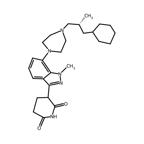 C[C@H](CC1CCCCC1)CN1CCN(c2cccc3c(C4CCC(=O)NC4=O)nn(C)c23)CC1